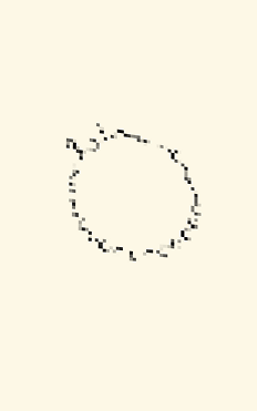 C[C@H]1C/C=C/CC/C=C/CCCCCCCCCCCCCCCCC(=O)O1